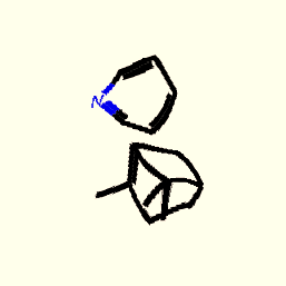 CC1=C2CC(CC1)C2(C)C.c1ccncc1